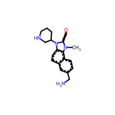 CN1C(=C=O)N(C2CCCNC2)c2ccc3cc(CN)ccc3c21